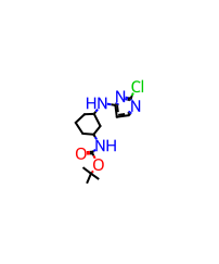 CC(C)(C)OC(=O)NC1CCCC(Nc2ccnc(Cl)n2)C1